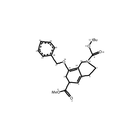 COC(=O)C1C=C2CCN(C(=O)OC(C)(C)C)CC2=C(OCc2ccccc2)C1